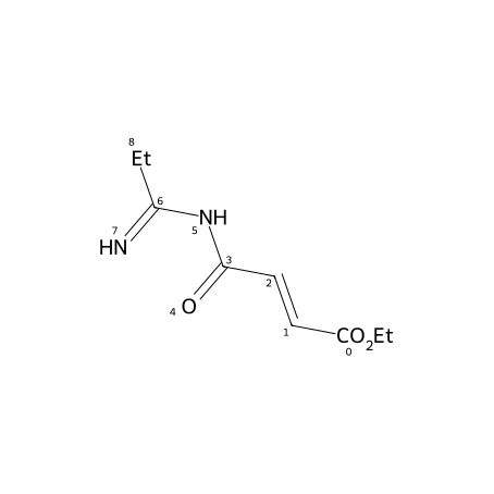 CCOC(=O)/C=C/C(=O)NC(=N)CC